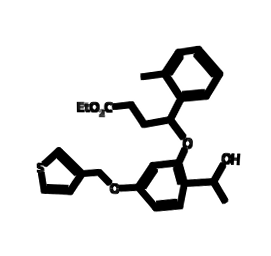 CCOC(=O)CCC(Oc1cc(OCc2ccsc2)ccc1C(C)O)c1ccccc1C